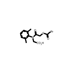 Cc1cccc(C)c1N(CC(=O)O)C(=O)CSC(=O)C(C)C